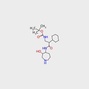 CC(C)(C)OC(=O)NCC(C(=O)NC1CCCNCC1O)C1CCCCC1